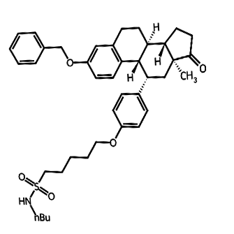 CCCCNS(=O)(=O)CCCCCOc1ccc([C@H]2C[C@]3(C)C(=O)CC[C@H]3[C@@H]3CCc4cc(OCc5ccccc5)ccc4[C@H]32)cc1